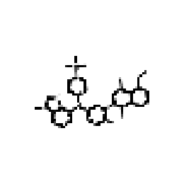 CCc1cccc2c(C)c(-c3cc(N(c4ccc([Si](C)(C)C)cc4)c4cccc5c(C)coc45)ccc3C)cc(C)c12